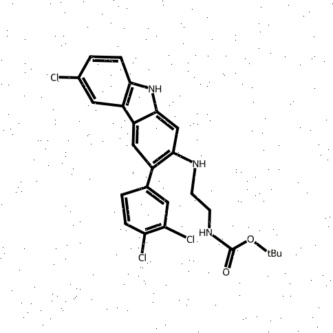 CC(C)(C)OC(=O)NCCNc1cc2[nH]c3ccc(Cl)cc3c2cc1-c1ccc(Cl)c(Cl)c1